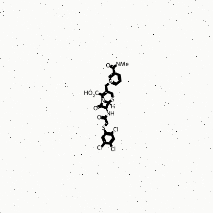 CNC(=O)c1ccc[n+](CC2=C(C(=O)O)N3C(=O)[C@H](NC(=O)CSc4cc(Cl)c(Cl)cc4Cl)[C@H]3SC2)c1